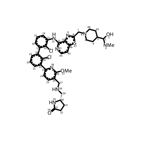 CNC(O)C1CCN(Cc2nc3c(Nc4cccc(-c5cccc(-c6ccc(CNC[C@@H]7CCC(=O)N7)c(OC)n6)c5Cl)c4Cl)nccc3s2)CC1